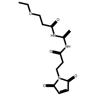 C=C(NC(=O)CCOCC)NC(=O)CCN1C(=O)C=CC1=O